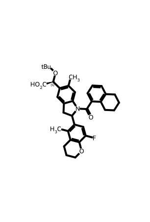 Cc1cc2c(cc1[C@H](OC(C)(C)C)C(=O)O)CC(c1cc(F)c3c(c1C)CCCO3)N2C(=O)c1cccc2c1CCCC2